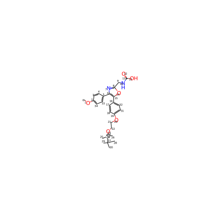 COc1ccc(-c2nc(CNC(=O)O)oc2-c2ccc(OCCO[Si](C)(C)C(C)(C)C)cc2)cc1